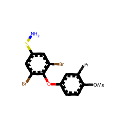 COc1ccc(Oc2c(Br)cc(SN)cc2Br)cc1C(C)C